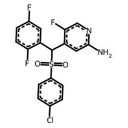 Nc1cc(C(c2cc(F)ccc2F)S(=O)(=O)c2ccc(Cl)cc2)c(F)cn1